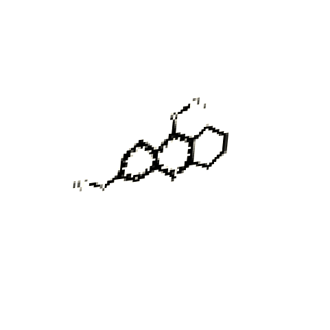 COc1ccc2c(OC)c3c(nc2c1)CCCC3